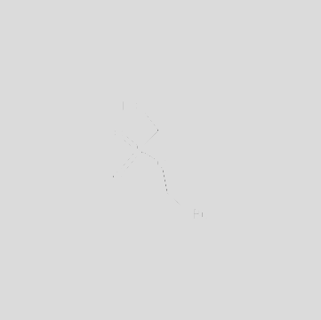 CC(C)(C)COS(=O)(=O)CC(F)(F)F